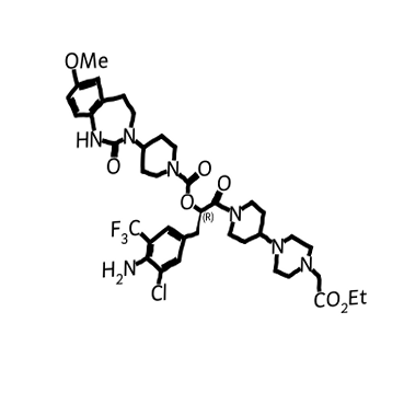 CCOC(=O)CN1CCN(C2CCN(C(=O)[C@@H](Cc3cc(Cl)c(N)c(C(F)(F)F)c3)OC(=O)N3CCC(N4CCc5cc(OC)ccc5NC4=O)CC3)CC2)CC1